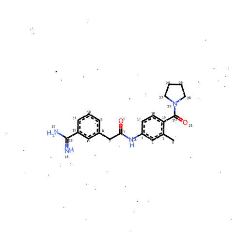 Cc1cc(NC(=O)Cc2cccc(C(=N)N)c2)ccc1C(=O)N1CCCC1